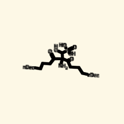 CCCCCCCCCCCCCC(=O)C(N)(C(=O)CCCCCCCCCCCCC)C(O)P(=O)(O)O